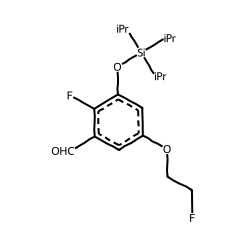 CC(C)[Si](Oc1cc(OCCF)cc(C=O)c1F)(C(C)C)C(C)C